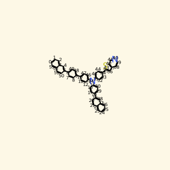 c1ccc2cc(-c3ccc(-c4ccc(N(c5ccc(-c6ccc7ccccc7c6)cc5)c5ccc(-c6cc7ccncc7s6)cc5)cc4)cc3)ccc2c1